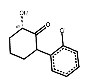 O=C1C(c2ccccc2Cl)CCC[C@@H]1O